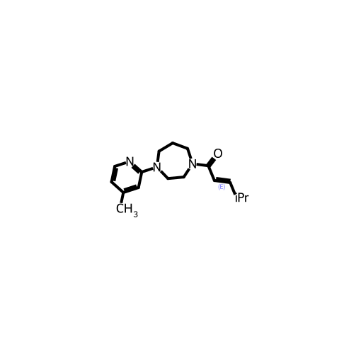 Cc1ccnc(N2CCCN(C(=O)/C=C/C(C)C)CC2)c1